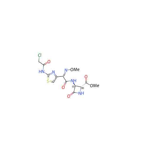 CON=C(C(=O)N[C@@H]1C(=O)N[C@H]1C(=O)OC)c1csc(NC(=O)CCl)n1